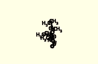 CC/C(C)=C/N=C1\C(=C(/C)N)N(c2ccc(Oc3ccccc3)cc2)C(=O)N1[C@H]1CC[C@@H](N(C)C(=O)/C=C/CN(C)C)CC1